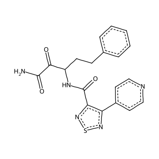 NC(=O)C(=O)C(CCc1ccccc1)NC(=O)c1nsnc1-c1ccncc1